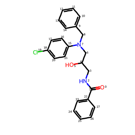 O=C(NCC(O)CN(Cc1ccccc1)c1ccc(Cl)cc1)c1ccccc1